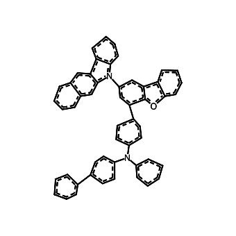 c1ccc(-c2ccc(N(c3ccccc3)c3ccc(-c4cc(-n5c6ccccc6c6cc7ccccc7cc65)cc5c4oc4ccccc45)cc3)cc2)cc1